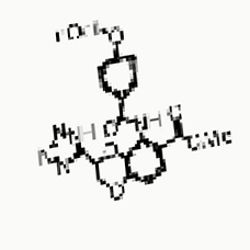 CCCCCCCCOc1ccc(C(=O)Nc2c(C(=O)OC)ccc3c2OC(c2nnn[nH]2)CO3)cc1